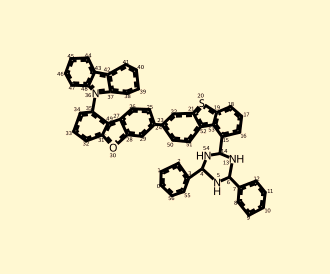 c1ccc(C2NC(c3ccccc3)NC(c3cccc4sc5cc(-c6ccc7c(c6)oc6cccc(-n8c9ccccc9c9ccccc98)c67)ccc5c34)N2)cc1